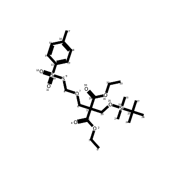 CCOC(=O)C(COCSS(=O)(=O)c1ccc(C)cc1)(CO[Si](C)(C)C(C)(C)C)C(=O)OCC